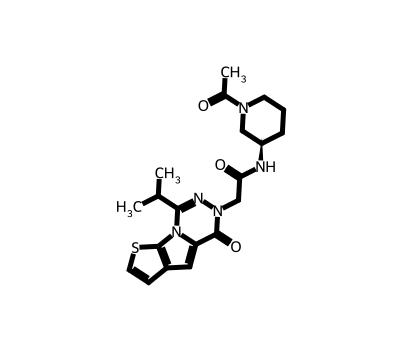 CC(=O)N1CCC[C@@H](NC(=O)Cn2nc(C(C)C)n3c(cc4ccsc43)c2=O)C1